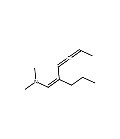 CC=C=C/C(=C\N(C)C)CCC